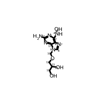 Nc1nc(NO)c2ncn(COCC(O)CO)c2n1